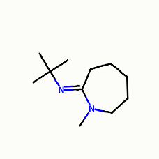 CN1CCCCCC1=NC(C)(C)C